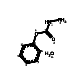 NNC(=O)Oc1ccccc1.O